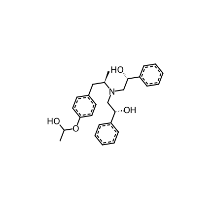 CC(O)Oc1ccc(C[C@@H](C)N(C[C@H](O)c2ccccc2)C[C@H](O)c2ccccc2)cc1